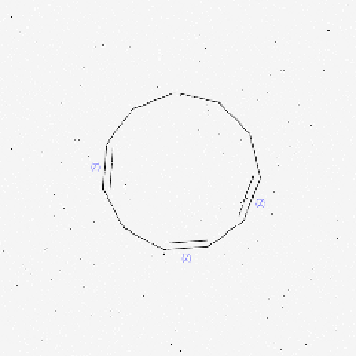 [C]1=C\C=C/CCCC/C=C\C/1